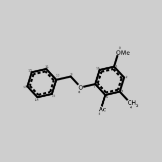 COc1cc(C)c(C(C)=O)c(OCc2ccccc2)c1